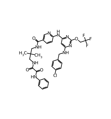 CC(C)(CNC(=O)C(=O)Nc1ccccc1)CNC(=O)c1ccc(Nc2cc(NCc3ccc(Cl)cc3)nc(OCC(F)(F)F)n2)nc1